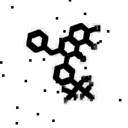 O=c1c2c(Cl)c(Cl)ccc2nc(Cc2ccccc2)n1-c1cccc(C(O)(C(F)(F)F)C(F)(F)F)c1